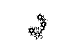 COC(=O)C(CC=Cc1ccc(N(C)c2ncccn2)cc1)NC(=O)c1c(C)cccc1C